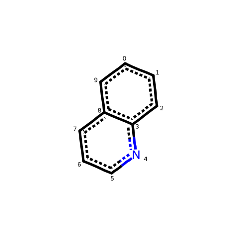 [c]1ccc2ncc[c]c2c1